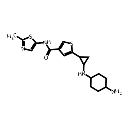 Cc1ncc(NC(=O)c2csc(C3CC3NC3CCC(N)CC3)c2)s1